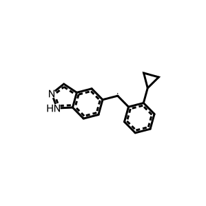 [CH](c1ccc2[nH]ncc2c1)c1ccccc1C1CC1